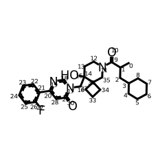 CC(CC1CCCCC1)C(=O)N1CCC(O)(Cn2cnc(-c3ccccc3F)cc2=O)C2(CCC2)C1